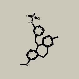 COc1ccc2c(c1)CCc1cc(C)ccc1C2Cc1cccc(NS(C)(=O)=O)c1